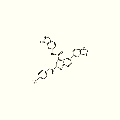 O=C(Nc1ccc2cn[nH]c2c1)c1cc(NCc2ccc(C(F)(F)F)cc2)nc2ccc(-c3ccc4c(c3)OCO4)cc12